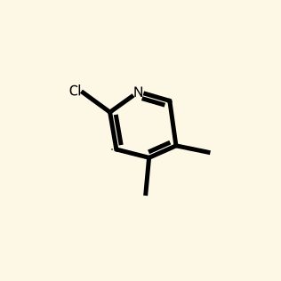 Cc1[c]c(Cl)ncc1C